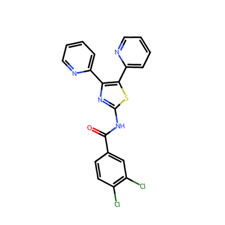 O=C(Nc1nc(-c2ccccn2)c(-c2ccccn2)s1)c1ccc(Cl)c(Cl)c1